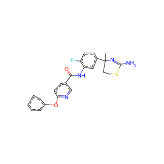 CC1(c2ccc(F)c(NC(=O)c3ccc(Oc4ccccc4)nc3)c2)CCSC(N)=N1